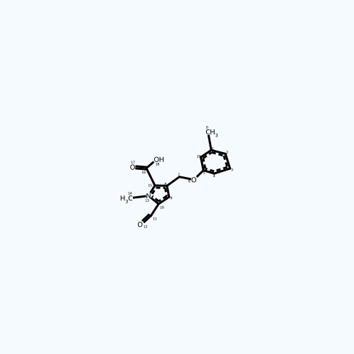 Cc1cccc(OCc2cc(C=O)n(C)c2C(=O)O)c1